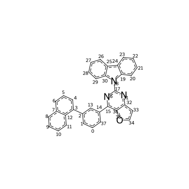 c1cc(-c2cccc3ccccc23)cc(-c2nc(-n3c4ccccc4c4ccccc43)nc3ccoc23)c1